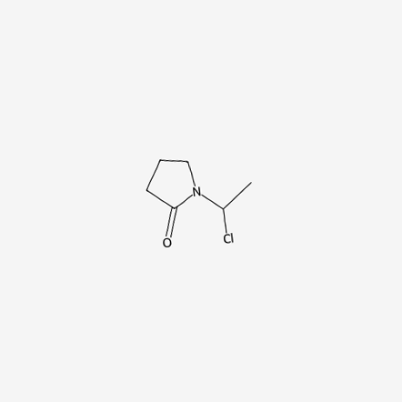 CC(Cl)N1CCCC1=O